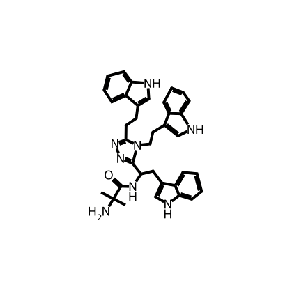 CC(C)(N)C(=O)NC(Cc1c[nH]c2ccccc12)c1nnc(CCc2c[nH]c3ccccc23)n1CCc1c[nH]c2ccccc12